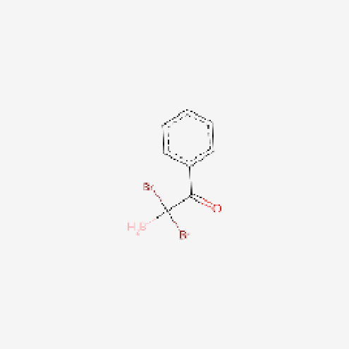 BC(Br)(Br)C(=O)c1ccccc1